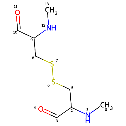 CNC(C=O)CSSCC(C=O)NC